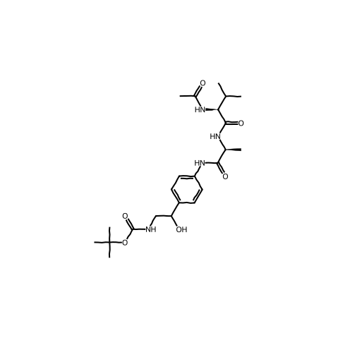 CC(=O)N[C@H](C(=O)N[C@@H](C)C(=O)Nc1ccc(C(O)CNC(=O)OC(C)(C)C)cc1)C(C)C